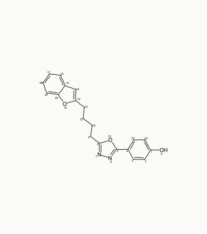 Oc1ccc(-c2nnc(CCCCc3cc4ccccc4o3)o2)cc1